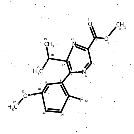 COC(=O)c1cnc(-c2cc(OC)ccc2F)c(C(C)C)n1